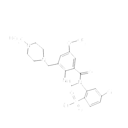 CCS(=O)(=O)c1ccc(Cl)cc1N(C)C(=O)c1cc(OC(F)(F)F)cc(CN2CCN(C(=O)O)CC2)c1N